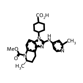 COC(=O)N1c2ccc3c(nc(Nc4ccnc(C)c4)n3C3CCC(C(=O)O)CC3)c2CC[C@@H]1C